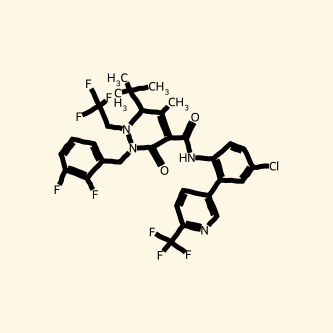 CC1=C(C(=O)Nc2ccc(Cl)cc2-c2ccc(C(F)(F)F)nc2)C(=O)N(Cc2cccc(F)c2F)N(CC(F)(F)F)C1C(C)(C)C